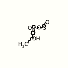 CCCCCC(O)c1ccc(N2C(=O)CC[C@@H]2COCc2cc(C=O)cs2)cc1